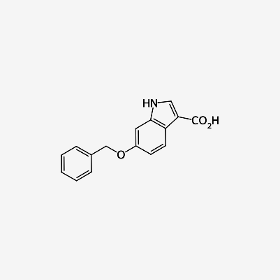 O=C(O)c1c[nH]c2cc(OCc3ccccc3)ccc12